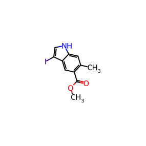 COC(=O)c1cc2c(I)c[nH]c2cc1C